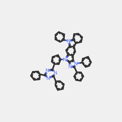 c1ccc(-c2nc(-c3ccccc3)nc(-c3cccc(-n4c5cc6c(cc5c5c4nc(-c4ccccc4)n5-c4ccccc4)c4ccccc4n6-c4ccccc4)c3)n2)cc1